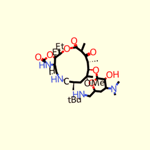 CC[C@H]1OC(=O)C(C)C(=O)[C@H](C)[C@@H](OC2OC(CNC(C)(C)C)CC(N(C)C)C2O)[C@](C)(OC)C[C@@H](C)CN[C@H](C)[C@H]2NC(=O)O[C@@]21CC